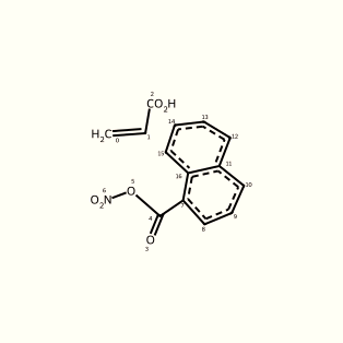 C=CC(=O)O.O=C(O[N+](=O)[O-])c1cccc2ccccc12